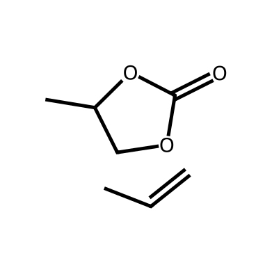 C=CC.CC1COC(=O)O1